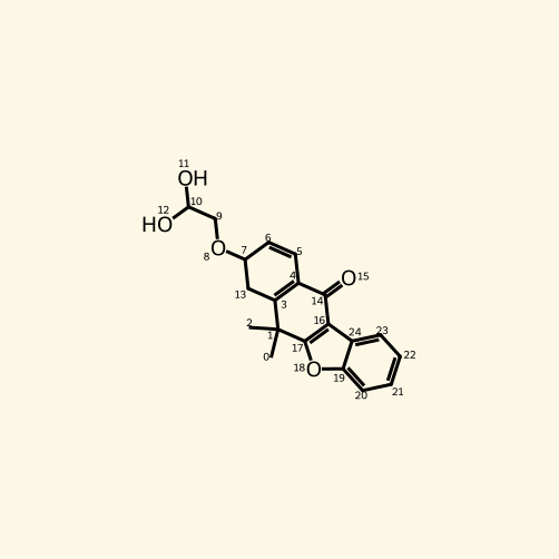 CC1(C)C2=C(C=CC(OCC(O)O)C2)C(=O)c2c1oc1ccccc21